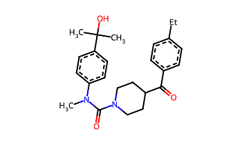 CCc1ccc(C(=O)C2CCN(C(=O)N(C)c3ccc(C(C)(C)O)cc3)CC2)cc1